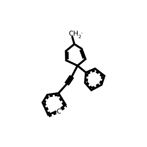 [CH2]C1C=CC(C#Cc2ccccc2)(c2ccccc2)C=C1